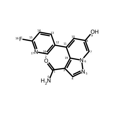 NC(=O)c1cnn2cc(O)cc(-c3ccc(F)nc3)c12